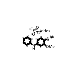 CCCCCCOS(=O)(=O)[O-].COc1cc(Nc2ccccc2)ccc1[N+]#N